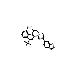 CC(C)(C)c1cc2c(c3ccccc13)C(O)C[n+]1ccc(-c3cc4sccc4cn3)cc1-2